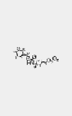 COCOCCCC(C)(C)NC(=O)OCc1ccccc1